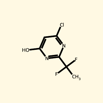 CC(F)(F)c1nc(O)cc(Cl)n1